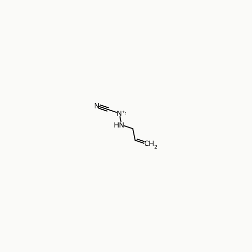 C=CCN[N+]C#N